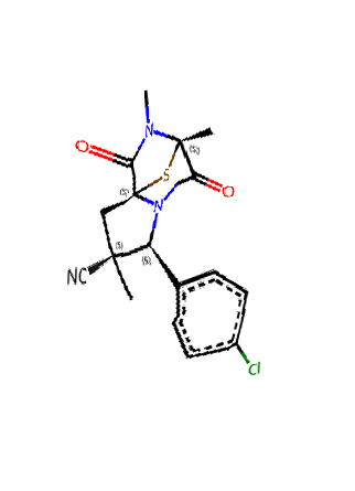 CN1C(=O)[C@@]23C[C@](C)(C#N)[C@H](c4ccc(Cl)cc4)N2C(=O)[C@]1(C)S3